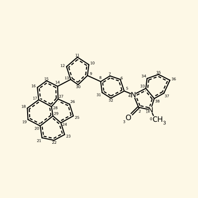 Cn1c(=O)n(-c2ccc(-c3cccc(-c4ccc5ccc6cccc7ccc4c5c67)c3)cc2)c2ccccc21